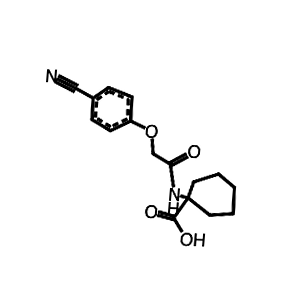 N#Cc1ccc(OCC(=O)NC2(C(=O)O)CCCCC2)cc1